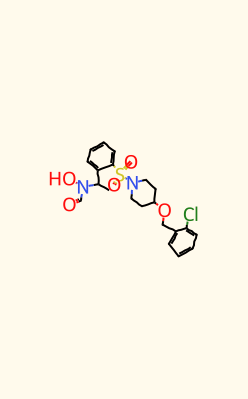 CC(c1ccccc1S(=O)(=O)N1CCC(OCc2ccccc2Cl)CC1)N(O)C=O